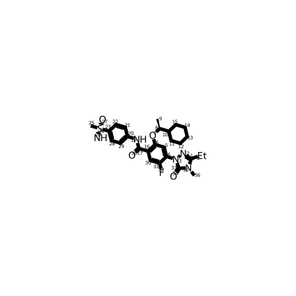 CCc1nn(-c2cc(O[C@@H](C)C3CCCCC3)c(C(=O)Nc3ccc(S(C)(=N)=O)cc3)cc2F)c(=O)n1C